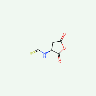 O=C1C[C@H](NC=S)C(=O)O1